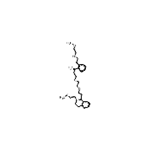 C=C(CCOCCOCCC1=[N+](CCOC)CCc2ccccc21)c1ccccc1CCNCCOC